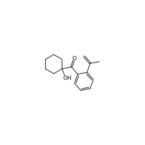 C=C(C)c1ccccc1C(=O)C1(O)CCCCC1